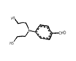 O=Cc1ccc(N(CCS)CCS)cc1